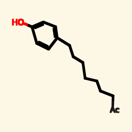 CC(=O)CCCCCCCc1ccc(O)cc1